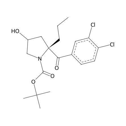 CCC[C@]1(C(=O)c2ccc(Cl)c(Cl)c2)CC(O)CN1C(=O)OC(C)(C)C